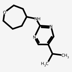 CC(C)c1cnc(NC2CCCOCC2)nc1